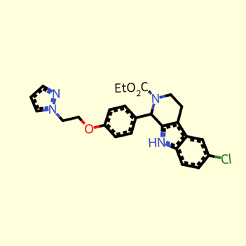 CCOC(=O)N1CCc2c([nH]c3ccc(Cl)cc23)C1c1ccc(OCCn2cccn2)cc1